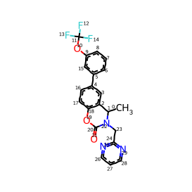 CC1c2cc(-c3cccc(OC(F)(F)F)c3)ccc2OC(=O)N1Cc1ncccn1